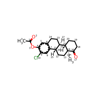 CC(=O)Oc1cc2c(cc1Cl)[C@H]1CC[C@]3(C)C(=O)CCC[C@H]3[C@@H]1CC2